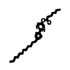 CCCCCCCCCCCCc1ccc(-c2ncc(OC(=O)CCCCCC)cn2)cc1